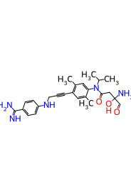 Cc1cc(N(C(=O)CC(N)(O)C=O)C(C)C)c(C)cc1C#CCNc1ccc(C(=N)N)cc1